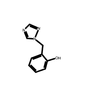 Oc1ccccc1Cn1cncn1